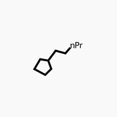 CCCCCC1CCCC1